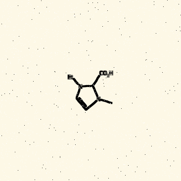 CCN1C=CN(C)C1C(=O)O